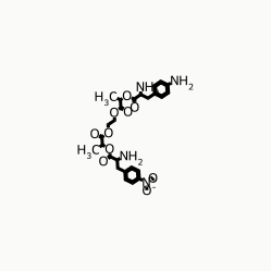 CC(OC(=O)C(N)Cc1ccc(N)cc1)C(=O)OCCOC(=O)C(C)OC(=O)C(N)Cc1ccc([N+](=O)[O-])cc1